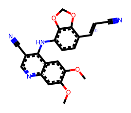 COc1cc2ncc(C#N)c(Nc3ccc(/C=C/C#N)c4c3OCO4)c2cc1OC